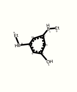 CCBc1cc(O)cc(BCC)c1